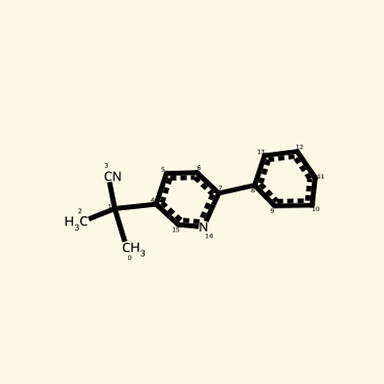 CC(C)(C#N)c1ccc(-c2ccccc2)nc1